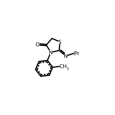 Cc1ccccc1N1C(=O)CS/C1=N\C(C)C